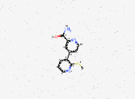 CSc1ncccc1-c1ccnc(C(N)=O)c1